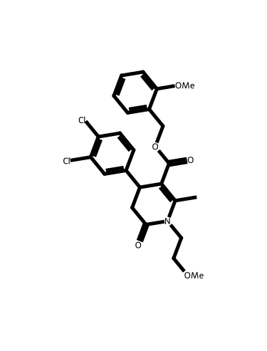 COCCN1C(=O)CC(c2ccc(Cl)c(Cl)c2)C(C(=O)OCc2ccccc2OC)=C1C